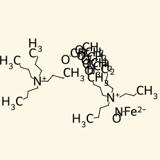 C=O.C=O.C=O.C=O.C=O.C=O.CCCC[N+](CCCC)(CCCC)CCCC.CCCC[N+](CCCC)(CCCC)CCCC.O=[N][Fe-2]